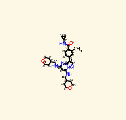 Cc1cc(-c2cnn3c(NCC4CCOCC4)cc(NCC4CCOCC4)nc23)ccc1C(=O)NC1CC1